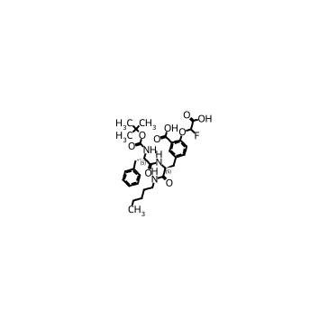 CCCCCNC(=O)[C@H](Cc1ccc(OC(F)C(=O)O)c(C(=O)O)c1)NC(=O)[C@H](Cc1ccccc1)NC(=O)OC(C)(C)C